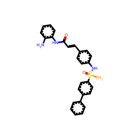 Nc1ccccc1NC(=O)/C=C/c1ccc(N[SH](=O)(P)c2ccc(-c3ccccc3)cc2)cc1